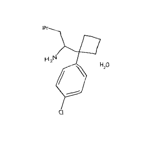 CC(C)CC(N)C1(c2ccc(Cl)cc2)CCC1.O